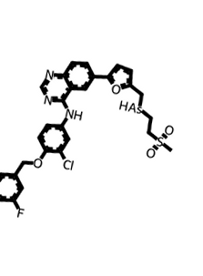 CS(=O)(=O)CC[AsH]Cc1ccc(-c2ccc3ncnc(Nc4ccc(OCc5cccc(F)c5)c(Cl)c4)c3c2)o1